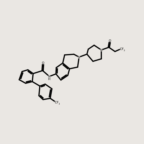 O=C(Nc1ccc2c(c1)CCN(C1CCN(C(=O)CC(F)(F)F)CC1)C2)c1ccccc1-c1ccc(C(F)(F)F)cc1